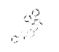 N=C1NC(c2ccccc2)(c2ccccc2)C(=O)N1CC1CCN(C(=O)C(N)c2ccccc2)CC1